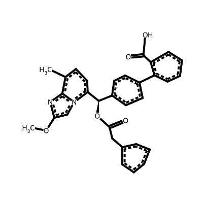 COc1cn2c([C@H](OC(=O)Cc3ccccc3)c3ccc(-c4ccccc4C(=O)O)cc3)ccc(C)c2n1